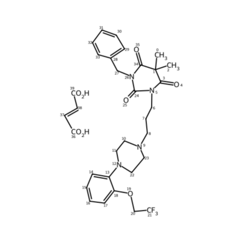 CC1(C)C(=O)N(CCCN2CCN(c3ccccc3OCC(F)(F)F)CC2)C(=O)N(Cc2ccccc2)C1=O.O=C(O)/C=C/C(=O)O